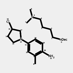 CCCCCCCCCCCCCCN(C)C.Cc1cc(N2CCC(Cl)C2)ccc1N